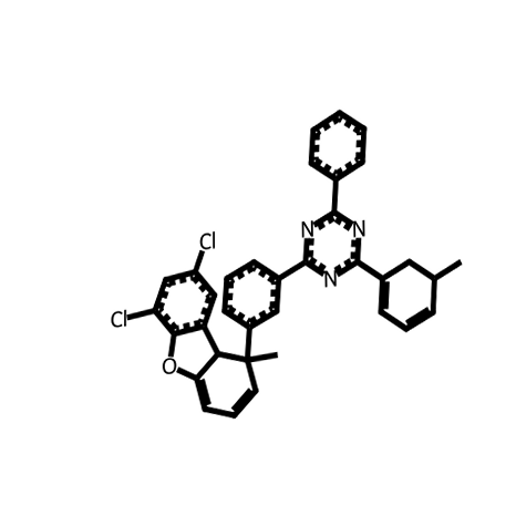 CC1C=CC=C(c2nc(-c3ccccc3)nc(-c3cccc(C4(C)C=CC=C5Oc6c(Cl)cc(Cl)cc6C54)c3)n2)C1